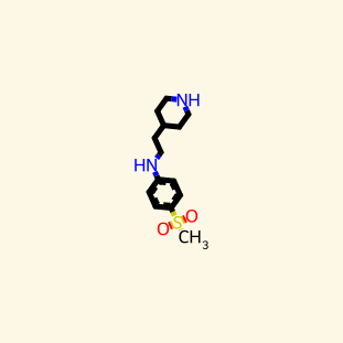 CS(=O)(=O)c1ccc(NCCC2CCNCC2)cc1